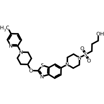 Cc1ccc(N2CCC(Oc3nc4ccc(N5CCN(S(=O)(=O)CCCO)CC5)cc4s3)CC2)nc1